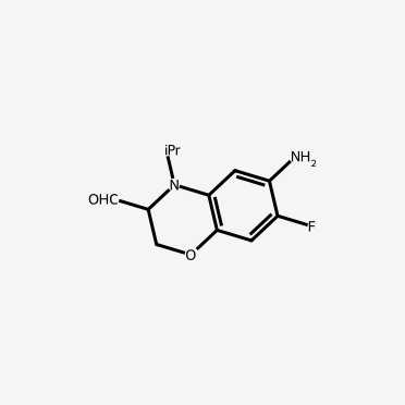 CC(C)N1c2cc(N)c(F)cc2OCC1C=O